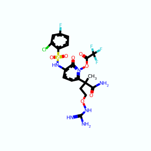 CC(CCONC(=N)N)(C(N)=O)c1ccc(NS(=O)(=O)c2ccc(F)cc2Cl)c(=O)n1OC(=O)C(F)(F)F